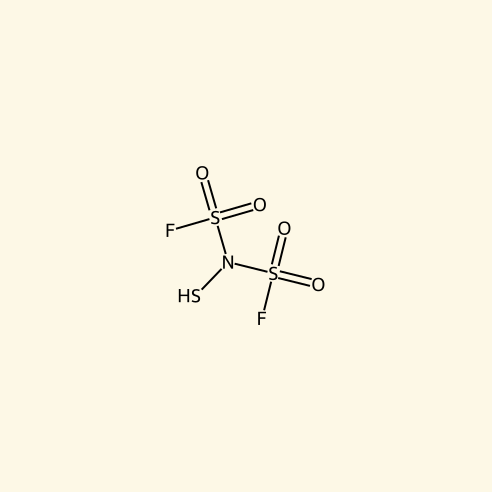 O=S(=O)(F)N(S)S(=O)(=O)F